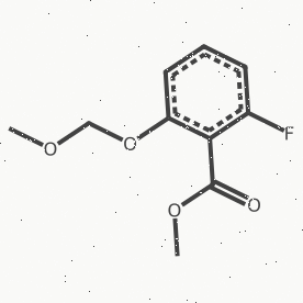 COCOc1cccc(F)c1C(=O)OC